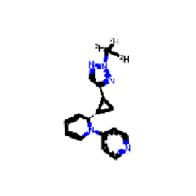 [2H]C([2H])([2H])n1ncc([C@H]2C[C@@H]2C2C=CC=CN2c2ccncc2)n1